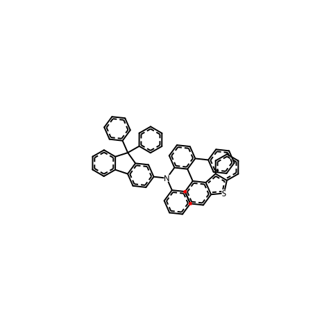 c1ccc(-c2cccc(N(c3ccccc3)c3ccc4c(c3)C(c3ccccc3)(c3ccccc3)c3ccccc3-4)c2-c2cccc3sc4ccccc4c23)cc1